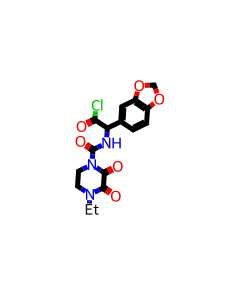 CCN1CCN(C(=O)NC(C(=O)Cl)c2ccc3c(c2)OCO3)C(=O)C1=O